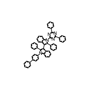 c1ccc(-c2ccc(-n3c(-c4ccccc4)c(-c4c(-c5ccccc5)n(-c5nc(-c6ccccc6)nc(-c6ccccc6)n5)c5ccccc45)c4ccccc43)cc2)cc1